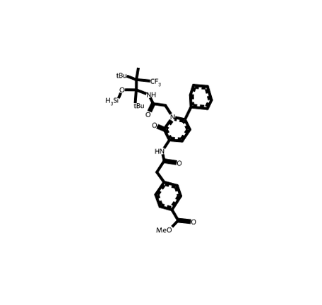 COC(=O)c1ccc(CC(=O)Nc2ccc(-c3ccccc3)n(CC(=O)NC(O[SiH3])(C(C)(C)C)C(C)(C(C)(C)C)C(F)(F)F)c2=O)cc1